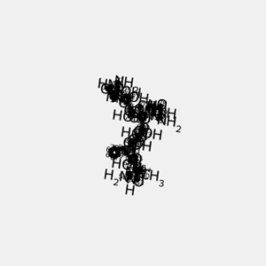 CO[C@@H]1[C@H](OP(=O)(O)OC[C@H]2O[C@@H](n3cnc4c(=O)[nH]c(N)nc43)[C@H](O)[C@@H]2O)[C@@H](COP(=O)(O)OP(=O)(O)OP(=O)(O)OC[C@H]2OC(n3c[n+](C)c4c(=O)[nH]c(N)nc43)[C@H](O)[C@@H]2COCc2ccccc2)O[C@H]1n1cnc2c(=O)[nH]c(N)nc21